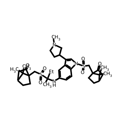 CCC(C)(Nc1ccc2c(c1)c(C1CCN(C)C1)cn2S(=O)(=O)CC12CCC(CC1=O)C2(C)C)S(=O)(=O)CC12CCC(CC1=O)C2(C)C